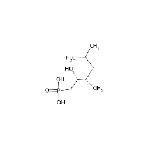 CC(C)C[C@H](C)[C@@H](O)CP(=O)(O)O